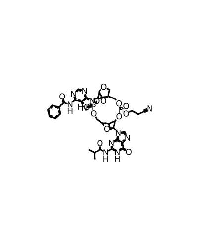 CC(C)C(=O)Nc1nc2c(ncn2C2OC3COP(O)OC4C5OCC4(COP(=O)(OCCC#N)OC2C3C)OC5n2cnc3c(NC(=O)c4ccccc4)ncnc32)c(=O)[nH]1